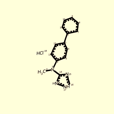 CN(c1ccc(-c2ccccc2)cc1)c1nc[nH]n1.Cl